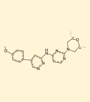 COc1ccc(-c2cnnc(Nc3ccnc(N4C[C@@H](C)O[C@@H](C)C4)n3)c2)cc1